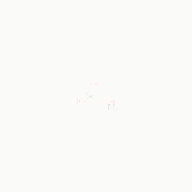 O=[Se](O)O.[Rb]